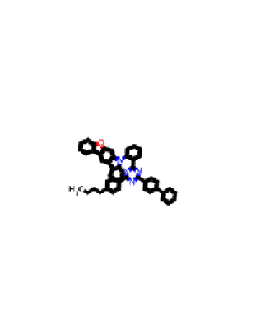 CCCCc1ccc(-c2nc(-c3ccc(-c4ccccc4)cc3)nc(-c3ccccc3-n3c4ccccc4c4cc5c(cc43)oc3ccccc35)n2)cc1